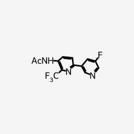 CC(=O)Nc1ccc(-c2cncc(F)c2)nc1C(F)(F)F